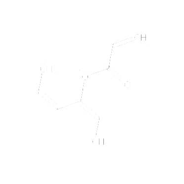 C=CC(=O)OC(/C=C\C)=C/C